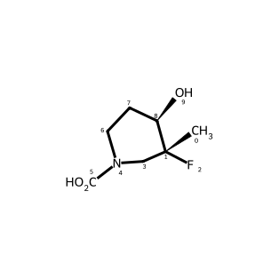 C[C@@]1(F)CN(C(=O)O)CC[C@H]1O